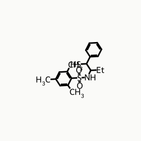 CCC(NS(=O)(=O)c1c(C)cc(C)cc1C)C(S)c1ccccc1